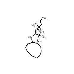 CCCC(C)(C)/C=C(/NC1CCCCCCCCC1)C(C)(C)C